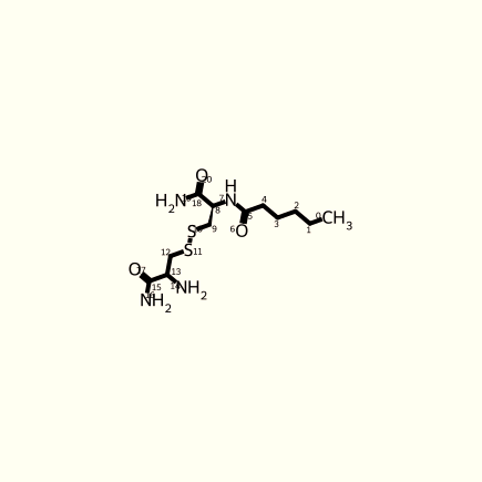 CCCCCC(=O)N[C@@H](CSSCC(N)C(N)=O)C(N)=O